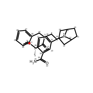 C[C@H](O)C(=O)N(CCN1C2CCC1CC(c1cccc(C(N)=O)c1)C2)Cc1ccccc1